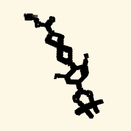 CC(C)(C)OC(=O)N1CC2(C1)CN(c1c(F)cc(B3OC(C)(C)C(C)(C)O3)cc1F)C2